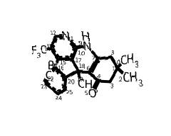 CC1(C)CC(=O)C2=C(C1)Nc1ncc(C(F)(F)F)c(Br)c1C2(C)c1ccccc1